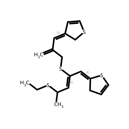 C=C(/C=C1/C=CSC1)CSC(=C\C(C)SCC)/C=C1\CC=CS1